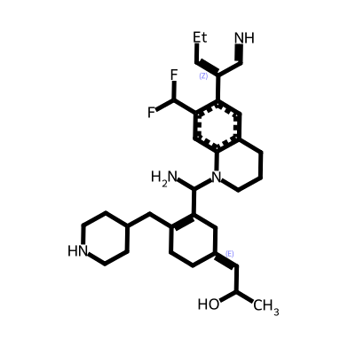 CC/C=C(\C=N)c1cc2c(cc1C(F)F)N(C(N)C1=C(CC3CCNCC3)CC/C(=C\C(C)O)C1)CCC2